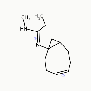 CC/C(=N\C12CC/C=C\CCC1C2)NC